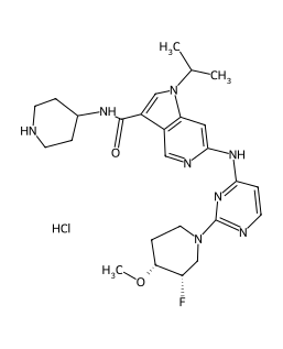 CO[C@@H]1CCN(c2nccc(Nc3cc4c(cn3)c(C(=O)NC3CCNCC3)cn4C(C)C)n2)C[C@@H]1F.Cl